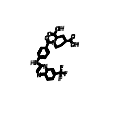 O=C(O)C1CCN(C(=O)c2ccc(Nc3cnc4ccc(C(F)(F)F)cc4n3)cc2)C(C(=O)O)C1